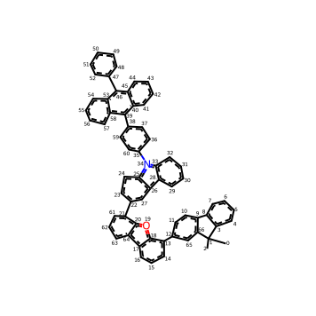 CC1(C)c2ccccc2-c2ccc(-c3cccc4c3oc3c(-c5ccc6c(c5)c5ccccc5n6-c5ccc(-c6c7ccccc7c(-c7ccccc7)c7ccccc67)cc5)cccc34)cc21